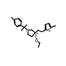 CCOC[C@]1(CCc2ccc(C)s2)CCN(C(C)(C)c2ccc(C)cc2)C1